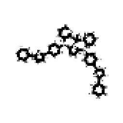 CC(C)(C)n1c(N(c2ccc(-c3ccc(-c4ccccc4)s3)cc2)c2cccnc2)ccc1N(c1ccc(-c2ccc(-c3ccccc3)s2)cc1)c1cccnc1